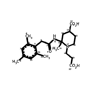 Cc1cc(C)c(CC(=O)NC2(C)CC(C(=O)O)CCN2CCC(=O)O)c(C)c1